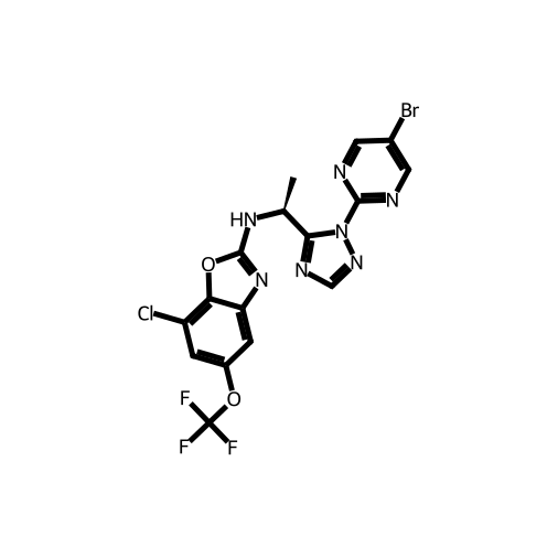 C[C@H](Nc1nc2cc(OC(F)(F)F)cc(Cl)c2o1)c1ncnn1-c1ncc(Br)cn1